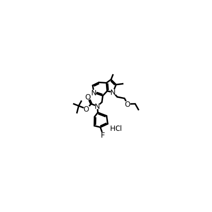 CCOCCn1c(C)c(C)c2ccnc(CN(C(=O)OC(C)(C)C)c3ccc(F)cc3)c21.Cl